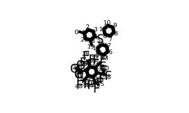 Cc1ccc([S+](c2ccccc2)c2ccccc2)c(C)c1.O=S(=O)([O-])c1c(C(F)(F)F)c(C(F)(F)F)c(C(F)(F)F)c(C(F)(F)F)c1C(F)(F)F